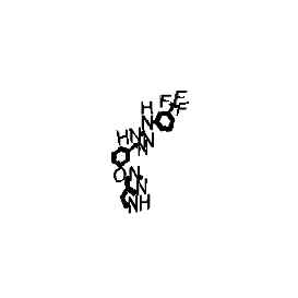 FC(F)(F)c1cccc(Nc2nnc(-c3cccc(Oc4ncnc5[nH]ccc45)c3)[nH]2)c1